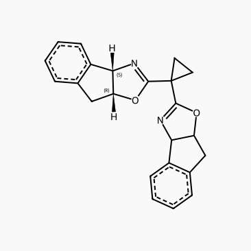 c1ccc2c(c1)CC1OC(C3(C4=N[C@H]5c6ccccc6C[C@H]5O4)CC3)=NC21